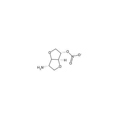 N[C@H]1CO[C@H]2C1OC[C@@H]2O[N+](=O)[O-]